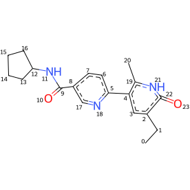 CCc1cc(-c2ccc(C(=O)NC3CCCC3)cn2)c(C)[nH]c1=O